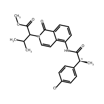 COC(=O)C(C(C)C)n1ccc2c(NC(=O)[C@@H](C)c3ccc(Cl)cc3)cccc2c1=O